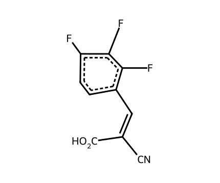 N#CC(=Cc1ccc(F)c(F)c1F)C(=O)O